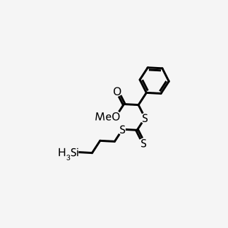 COC(=O)C(SC(=S)SCCC[SiH3])c1ccccc1